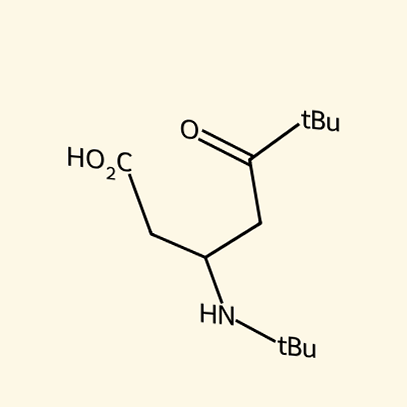 CC(C)(C)NC(CC(=O)O)CC(=O)C(C)(C)C